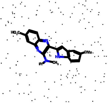 COc1ccc2[nH]c(-c3nc4ccc(C(=O)O)cc4nc3N(C)C(C)C)cc2c1